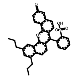 CCCc1cc(CCC)c2ccc3c(-c4ccccc4S(=O)(=O)O)c4ccc5cc(=O)ccc5c4oc3c2c1